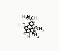 COc1nc(C)c2[nH]c(=O)c3sc(C)cc3c2c1-c1ccc(C(C)CN)cc1